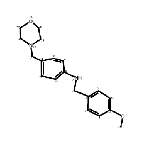 COc1ccc(CNc2ccc(CN3CCOCC3)cc2)cc1